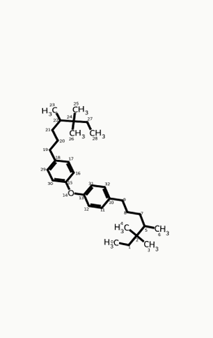 CCC(C)(C)C(C)CCCc1ccc(Oc2ccc(CCCC(C)C(C)(C)CC)cc2)cc1